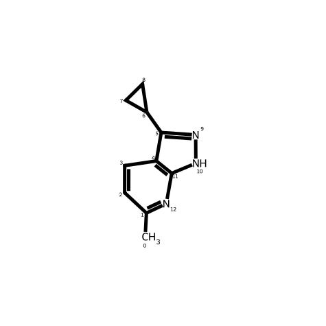 Cc1ccc2c(C3CC3)n[nH]c2n1